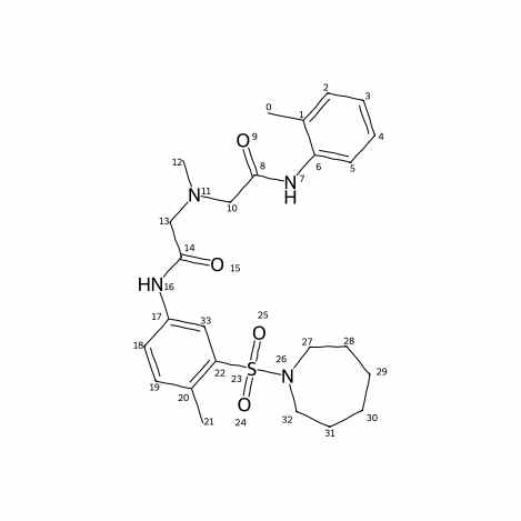 Cc1ccccc1NC(=O)CN(C)CC(=O)Nc1ccc(C)c(S(=O)(=O)N2CCCCCC2)c1